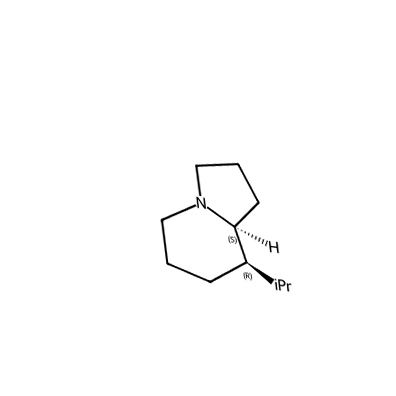 CC(C)[C@H]1CCCN2CCC[C@@H]12